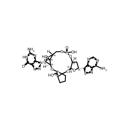 Nc1nc2c(nnn2[C@@H]2O[C@@H]3COP(=O)(O)O[C@H]4C[C@H](c5snc6c(N)ncnc56)O[C@@H]4CC4(CCCC4)P(=O)(O)O[C@@H]2[C@@H]3O)c(=O)[nH]1